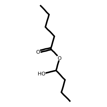 CCCCC(=O)OC(O)CCC